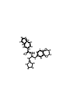 O=C(NC(Cc1ccc2c(c1)OCCO2)CN1CCCC1)c1ccc2sccc2c1